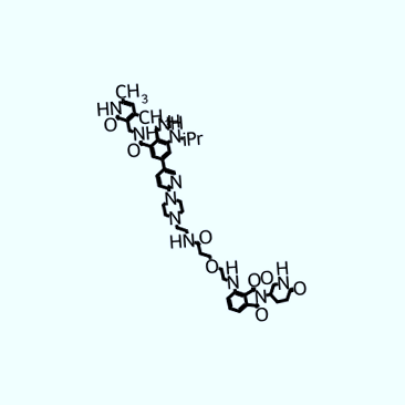 Cc1cc(C)c(CNC(=O)c2cc(-c3ccc(N4CCN(CCNC(=O)CCOCCNc5cccc6c5C(=O)N(C5CCC(=O)NC5=O)C6=O)CC4)nc3)cc(NC(C)C)c2C=N)c(=O)[nH]1